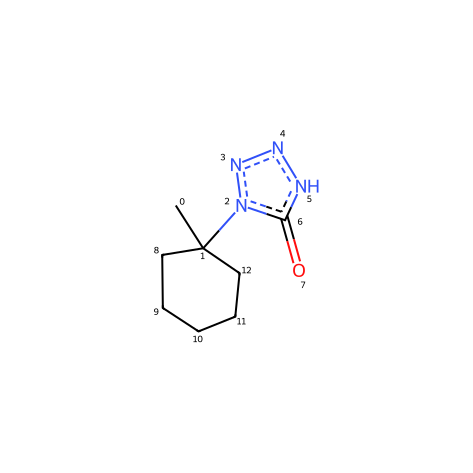 CC1(n2nn[nH]c2=O)CCCCC1